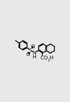 Cc1ccc(S(=O)(=O)Nc2ccc3c(c2C(=O)O)CCCC3)cc1